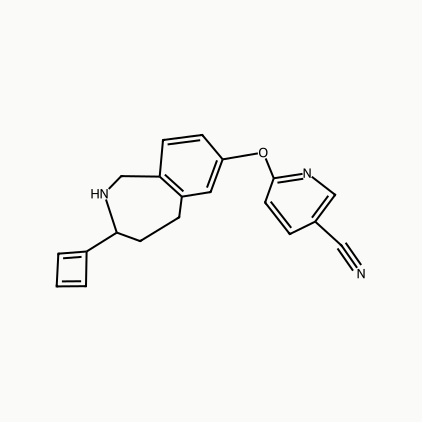 N#Cc1ccc(Oc2ccc3c(c2)CCC(C2=CC=C2)NC3)nc1